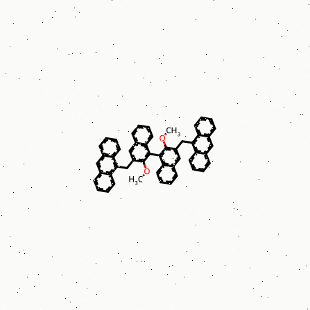 COc1c(Cc2c3ccccc3cc3ccccc23)cc2ccccc2c1-c1c(OC)c(Cc2c3ccccc3cc3ccccc23)cc2ccccc12